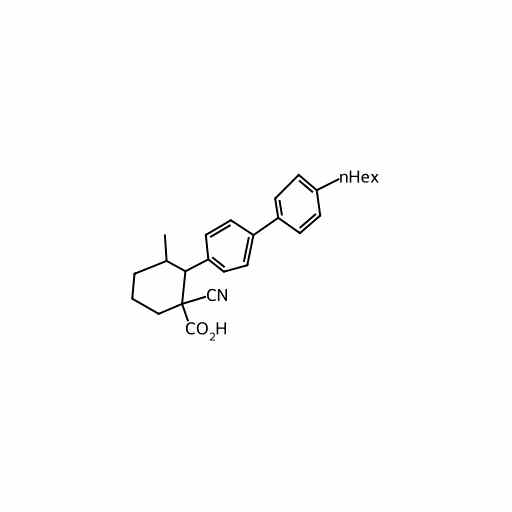 CCCCCCc1ccc(-c2ccc(C3C(C)CCCC3(C#N)C(=O)O)cc2)cc1